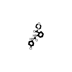 O=C(Nc1ccc(Cl)cc1)Nc1ccccc1C(=O)N1CCOCC1